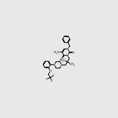 Cc1cn(Cc2ccccc2)c(=O)n(CC(C)(C)CN2CCN(c3ccccc3OCC(F)(F)F)CC2)c1=O